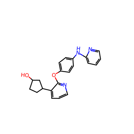 OC1CCC(c2cccnc2Oc2ccc(Nc3ccccn3)cc2)C1